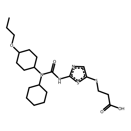 CCCOC1CCC(N(C(=O)Nc2ncc(SCCC(=O)O)s2)C2CCCCC2)CC1